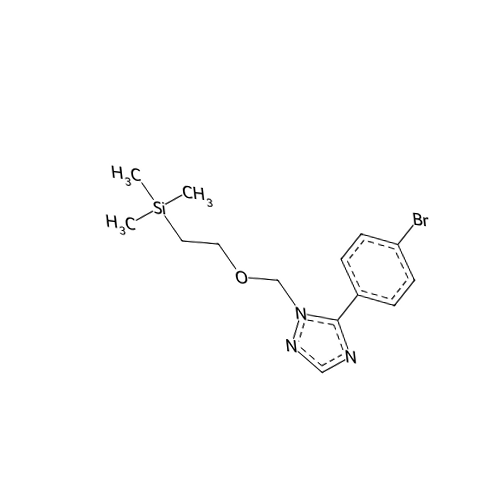 C[Si](C)(C)CCOCn1ncnc1-c1ccc(Br)cc1